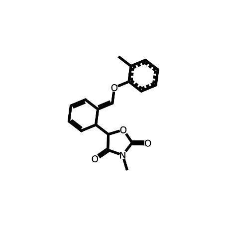 Cc1ccccc1OC=C1C=CC=CC1C1OC(=O)N(C)C1=O